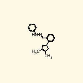 CC1=C(C)CC(c2ccccc2C=NNc2ccccc2)=C1